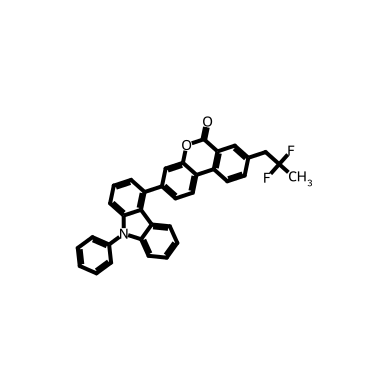 CC(F)(F)Cc1ccc2c(c1)c(=O)oc1cc(-c3cccc4c3c3ccccc3n4-c3ccccc3)ccc12